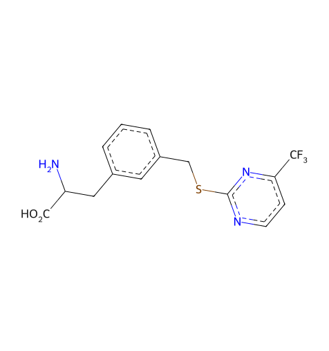 NC(Cc1cccc(CSc2nccc(C(F)(F)F)n2)c1)C(=O)O